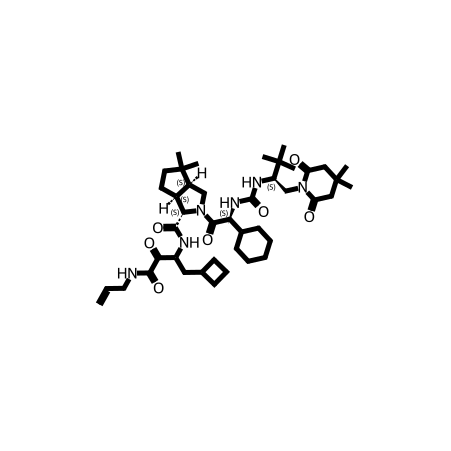 C=CCNC(=O)C(=O)C(CC1CCC1)NC(=O)[C@@H]1[C@H]2CCC(C)(C)[C@H]2CN1C(=O)[C@@H](NC(=O)N[C@H](CN1C(=O)CC(C)(C)CC1=O)C(C)(C)C)C1CCCCC1